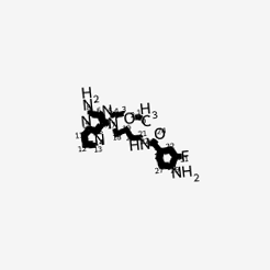 CCOCc1nc2c(N)nc3cccnc3c2n1CCCCNC(=O)c1ccc(N)c(F)c1